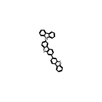 C1=CC2c3ccccc3SC2C=C1c1ccc2c(c1)sc1ccc(-n3c4ccccc4c4ccccc43)cc12